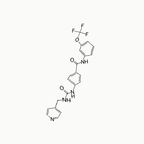 O=C(NCc1ccncc1)Nc1ccc(C(=O)Nc2cccc(OC(F)(F)F)c2)cc1